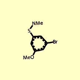 CNSc1cc(Br)cc(OC)c1